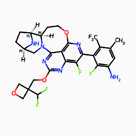 Cc1cc(N)c(F)c(-c2nc3c4c(nc(OCC5(C(F)F)COC5)nc4c2F)N2C[C@H]4CC[C@H](N4)[C@H]2CCO3)c1C(F)(F)F